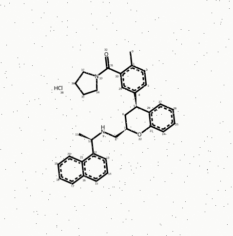 Cc1ccc([C@@H]2C[C@H](CN[C@H](C)c3cccc4ccccc34)Oc3ccccc32)cc1C(=O)N1CCCC1.Cl